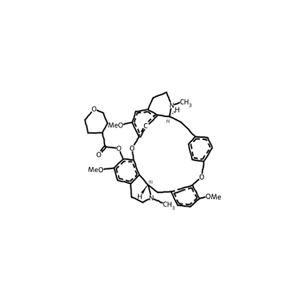 COc1ccc2cc1Oc1ccc(cc1)C[C@H]1c3cc(c(OC)cc3CCN1C)Oc1c(OC(=O)C3CCOCC3)c(OC)cc3c1[C@H](C2)N(C)CC3